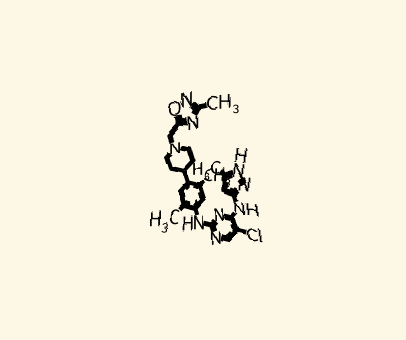 Cc1noc(CN2CCC(c3cc(C)c(Nc4ncc(Cl)c(Nc5cc(C)[nH]n5)n4)cc3C)CC2)n1